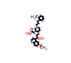 COc1ccc2nccc([C@@H](O)CC[C@@H]3CCN(CCCc4ccccc4C)C[C@@H]3CC(=O)O)c2c1